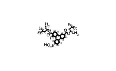 CCC(CC)C[C@@H](C)OC(=O)c1ccc(-c2ccc(C(=O)O)cc2)c(-c2ccc(C(=O)O[C@H](C)CC(CC)CC)c(F)c2)c1